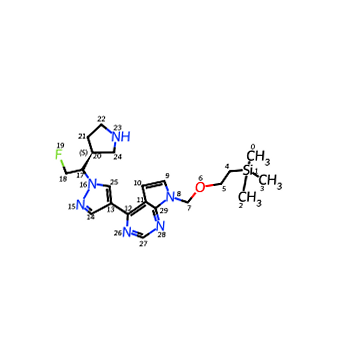 C[Si](C)(C)CCOCn1ccc2c(-c3cnn(C(CF)[C@H]4CCNC4)c3)ncnc21